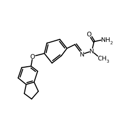 CN(N=Cc1ccc(Oc2ccc3c(c2)CCC3)cc1)C(N)=O